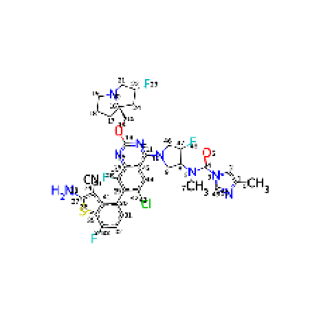 Cc1cn(C(=O)N(C)C2CN(c3nc(OC[C@@]45CCCN4C[C@H](F)C5)nc4c(F)c(-c5ccc(F)c6sc(N)c(C#N)c56)c(Cl)cc34)CC2F)cn1